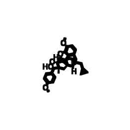 COc1ccc(C(O)[C@@]2(C)C[C@@]34CC[C@]2(OC)[C@@H]2Oc5c(OC)ccc6c5[C@@]23CCN(CC2CC2)[C@@H]4C6)cc1